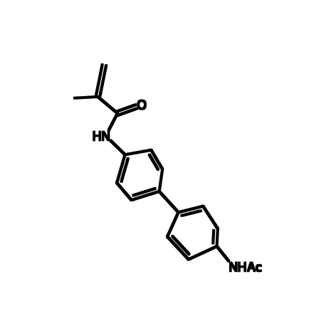 C=C(C)C(=O)Nc1ccc(-c2ccc(NC(C)=O)cc2)cc1